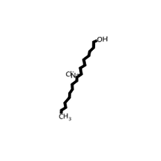 CCCCCCCCCCCCCCCCCCO.[Cl-].[Na+]